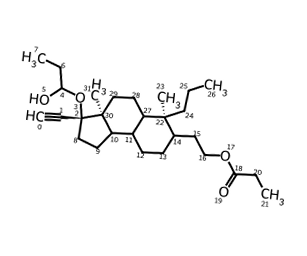 C#C[C@]1(OC(O)CC)CCC2C3CCC(CCOC(=O)CC)[C@](C)(CCC)C3CC[C@@]21C